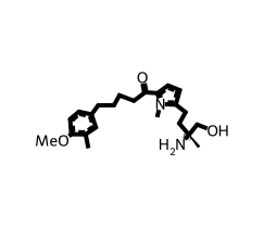 COc1ccc(CCCCC(=O)c2ccc(CC[C@@](C)(N)CO)n2C)cc1C